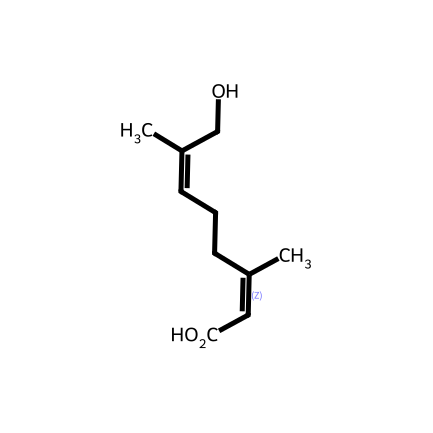 CC(=CCC/C(C)=C\C(=O)O)CO